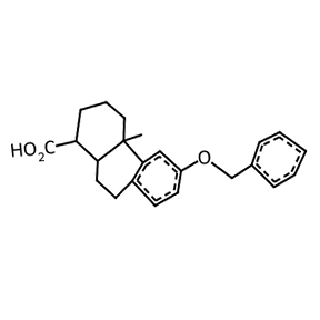 CC12CCCC(C(=O)O)C1CCc1ccc(OCc3ccccc3)cc12